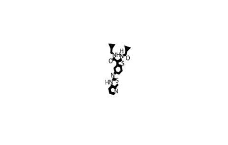 Cc1ncccc1NC(=S)/N=C1\CCc2sc(NC(=O)C3CC3)c(C(=O)NCC3CC3)c2C1